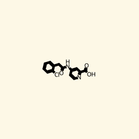 O=C(Cc1ccccc1Cl)Nc1ccnc(C(=O)O)c1